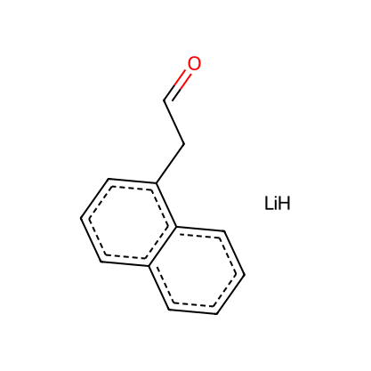 O=CCc1cccc2ccccc12.[LiH]